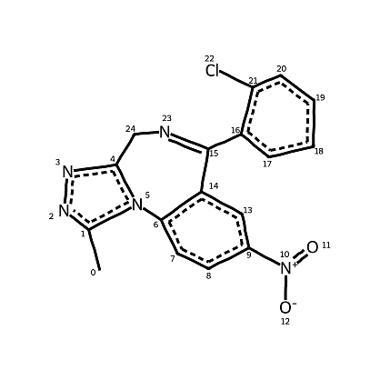 Cc1nnc2n1-c1ccc([N+](=O)[O-])cc1C(c1ccccc1Cl)=NC2